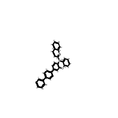 c1ccc(-c2ccc(-c3ccc4c(c3)Oc3ccccc3N4c3ccc4ccccc4n3)cc2)cc1